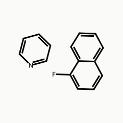 Fc1cccc2ccccc12.c1ccncc1